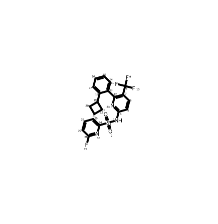 O=S(=O)(Nc1ccc(C(F)(F)F)c(-c2ccccc2C2CCC2)n1)c1cccc(F)n1